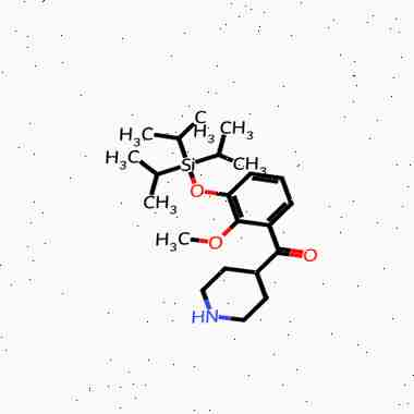 COc1c(O[Si](C(C)C)(C(C)C)C(C)C)cccc1C(=O)C1CCNCC1